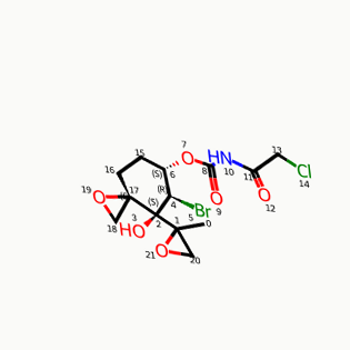 CC1([C@@]2(O)[C@H](Br)[C@@H](OC(=O)NC(=O)CCl)CC[C@]23CO3)CO1